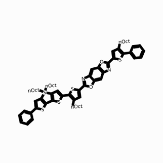 CCCCCCCCc1cc(-c2nc3cc4oc(-c5cc(CCCCCCCC)c(-c6cc7c(s6)-c6sc(-c8ccccc8)cc6[Si]7(CCCCCCCC)CCCCCCCC)s5)nc4cc3o2)sc1-c1ccccc1